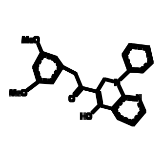 COc1cc(CC(=O)C2=C(O)c3cccnc3N(c3ccccc3)C2)cc(OC)c1